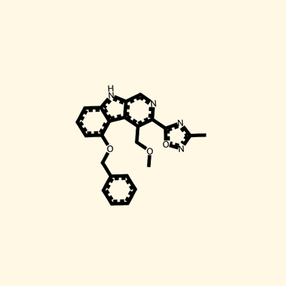 COCc1c(-c2nc(C)no2)ncc2[nH]c3cccc(OCc4ccccc4)c3c12